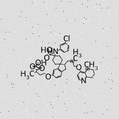 CC(CCOc1ccc2c(c1)C1(CCC(Nc3cccc(Cl)c3)(C(=O)O)CC1)C(C[C@@H](C)COc1ccnc3c1[C@H](C)CCC3)C2)S(=O)(=O)O